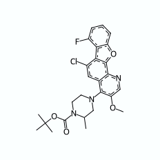 COc1cnc2c(cc(Cl)c3c2oc2cccc(F)c23)c1N1CCN(C(=O)OC(C)(C)C)C(C)C1